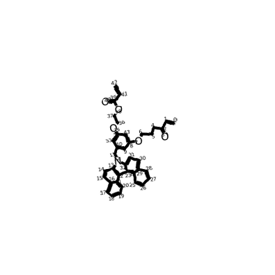 C=CC(=O)CCCOc1cc(Cn2c3ccc4ccccc4c3c3c4ccccc4ccc32)cc(OCCOC(=O)C=C)c1